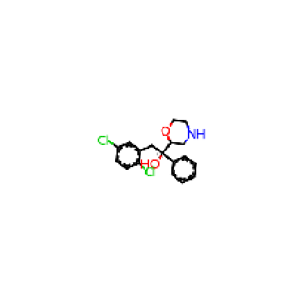 O[C@](Cc1cc(Cl)ccc1Cl)(c1ccccc1)C1CNCCO1